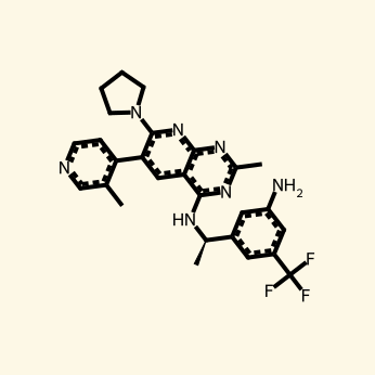 Cc1nc(N[C@H](C)c2cc(N)cc(C(F)(F)F)c2)c2cc(-c3ccncc3C)c(N3CCCC3)nc2n1